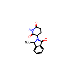 CC(C)(C)C1c2ccccc2C(=O)N1C1CCC(=O)NC1=O